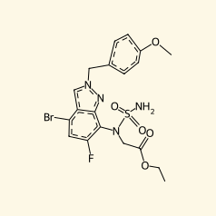 CCOC(=O)CN(c1c(F)cc(Br)c2cn(Cc3ccc(OC)cc3)nc12)S(N)(=O)=O